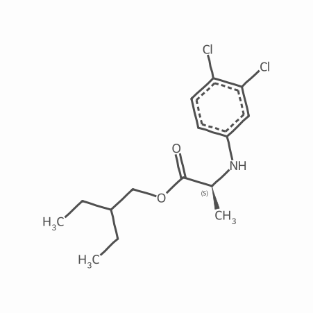 CCC(CC)COC(=O)[C@H](C)Nc1ccc(Cl)c(Cl)c1